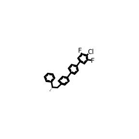 C[C@@H](Cc1ccc(-c2ccc(-c3cc(F)c(Cl)c(F)c3)cc2)cc1)c1ccccc1